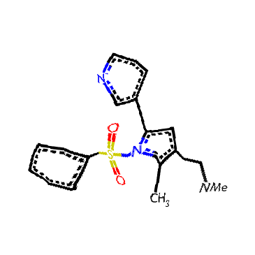 CNCc1cc(-c2cccnc2)n(S(=O)(=O)c2ccccc2)c1C